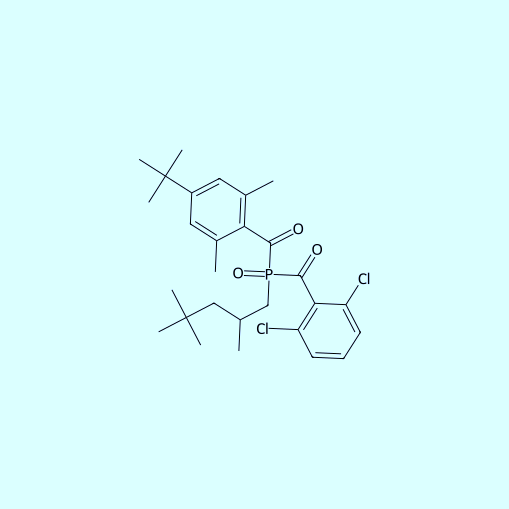 Cc1cc(C(C)(C)C)cc(C)c1C(=O)P(=O)(CC(C)CC(C)(C)C)C(=O)c1c(Cl)cccc1Cl